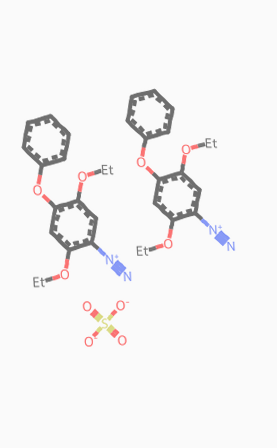 CCOc1cc(Oc2ccccc2)c(OCC)cc1[N+]#N.CCOc1cc(Oc2ccccc2)c(OCC)cc1[N+]#N.O=S(=O)([O-])[O-]